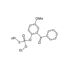 CCCSP(=O)(OCC)Oc1ccc(OC)cc1C(=O)c1ccccc1